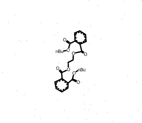 CCCCOC(=O)c1ccccc1C(=O)OCCOC(=O)c1ccccc1C(=O)OCCCC